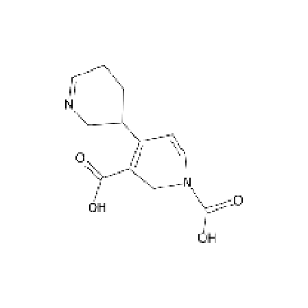 O=C(O)C1=C(C2CCC=NC2)C=CN(C(=O)O)C1